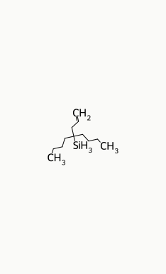 C=CCC([SiH3])(CCCC)CCCC